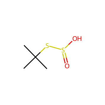 CC(C)(C)SS(=O)O